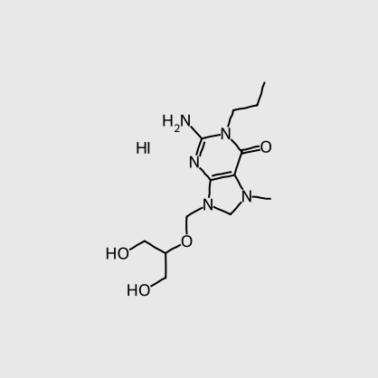 CCCn1c(N)nc2c(c1=O)N(C)CN2COC(CO)CO.I